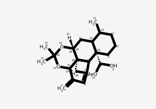 C=C1C=C2C[C@@]34C2[C@]2(C(O)OC)CCCC(C)C2C[C@H]3OC(C)(C)O[C@@H]14